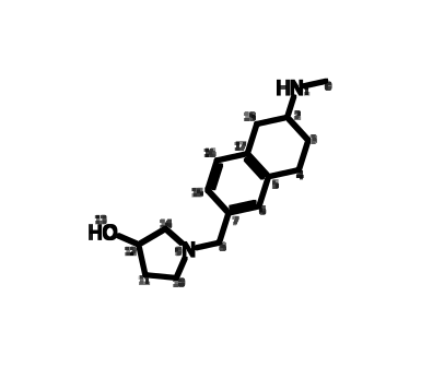 CNC1CCc2cc(CN3CCC(O)C3)ccc2C1